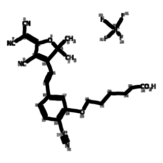 CC1(C)OC(=C(C#N)C#N)C(C#N)=C1/C=C/c1ccc([N+]#N)c(OCCCCCC(=O)O)c1.F[B-](F)(F)F